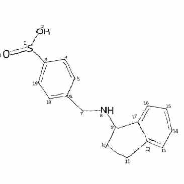 O=S(O)c1ccc(CNC2CCc3ccccc32)cc1